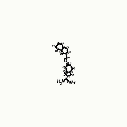 N=C(N)c1cc2ccc(OCc3ccc4ccccc4c3)cc2s1